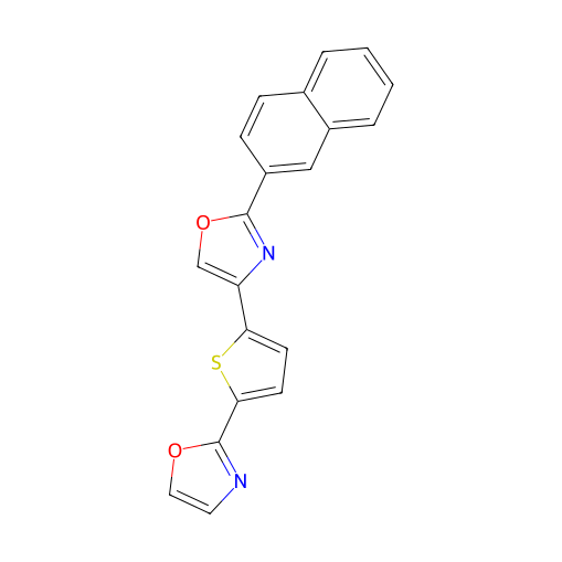 c1ccc2cc(-c3nc(-c4ccc(-c5ncco5)s4)co3)ccc2c1